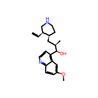 C=C[C@H]1CNCC[C@H]1C[C@@H](C)[C@@H](O)c1ccnc2ccc(OC)cc12